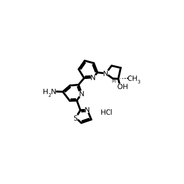 C[C@@]1(O)CCN(c2cccc(-c3cc(N)cc(-c4nccs4)n3)n2)C1.Cl